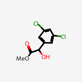 COC(=O)C(O)c1cc(Cl)cc(Cl)c1